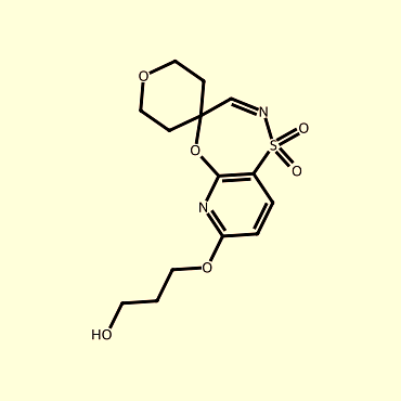 O=S1(=O)N=CC2(CCOCC2)Oc2nc(OCCCO)ccc21